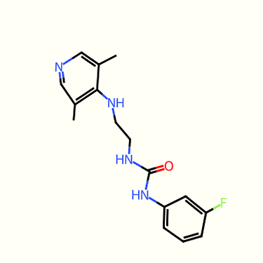 Cc1cncc(C)c1NCCNC(=O)Nc1cccc(F)c1